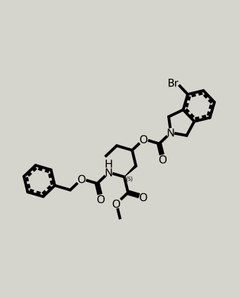 CCC(C[C@H](NC(=O)OCc1ccccc1)C(=O)OC)OC(=O)N1Cc2cccc(Br)c2C1